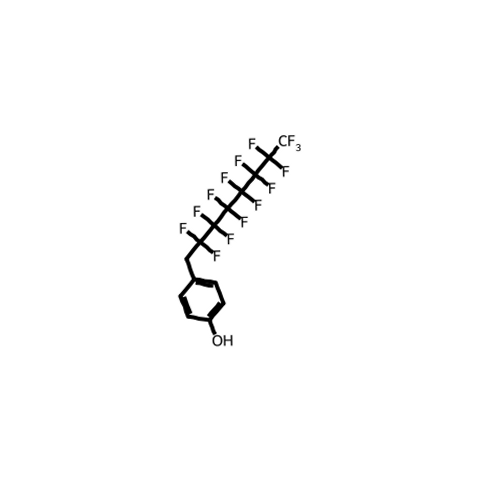 Oc1ccc(CC(F)(F)C(F)(F)C(F)(F)C(F)(F)C(F)(F)C(F)(F)C(F)(F)F)cc1